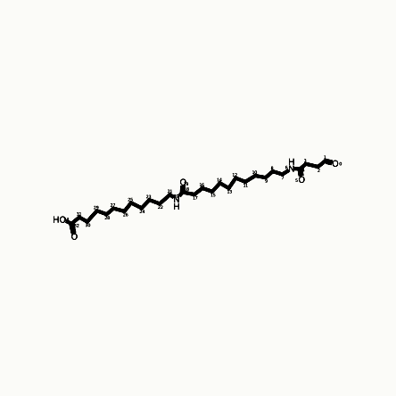 O=CCCC(=O)NCCCCCCCCCCCC(=O)NCCCCCCCCCCCC(=O)O